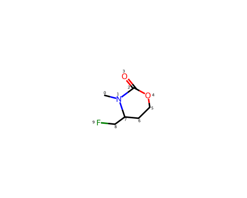 CN1C(=O)OCCC1CF